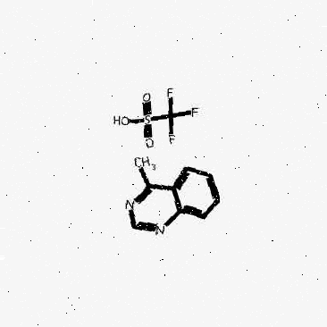 Cc1ncnc2ccccc12.O=S(=O)(O)C(F)(F)F